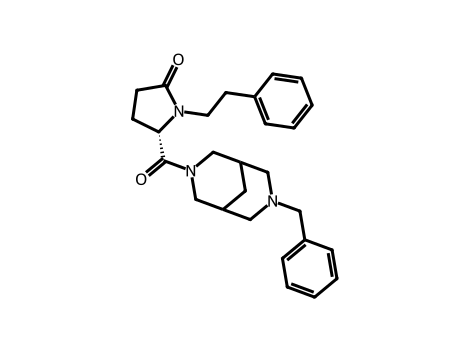 O=C([C@@H]1CCC(=O)N1CCc1ccccc1)N1CC2CC(CN(Cc3ccccc3)C2)C1